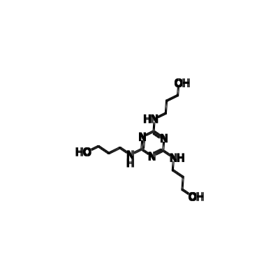 OCCCNc1nc(NCCCO)nc(NCCCO)n1